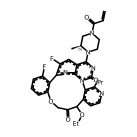 C=CC(=O)N1CCN(c2nc(=O)n3c4nc(c(F)cc24)-c2c(F)cccc2OCC(=O)C(OCC)c2ccnc(C(C)C)c2-3)[C@@H](C)C1